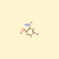 CNc1cc(I)ccc1OC